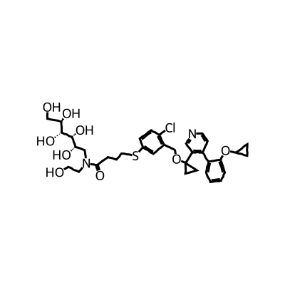 O=C(CCCSc1ccc(Cl)c(COC2(c3cnccc3-c3ccccc3OC3CC3)CC2)c1)N(CCO)C[C@H](O)[C@@H](O)[C@H](O)[C@H](O)CO